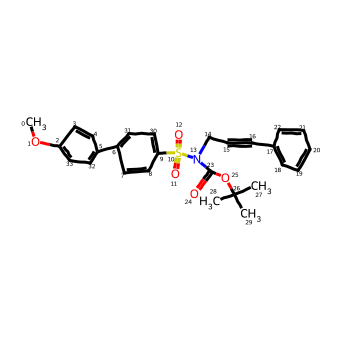 COc1ccc(-c2ccc(S(=O)(=O)N(CC#Cc3ccccc3)C(=O)OC(C)(C)C)cc2)cc1